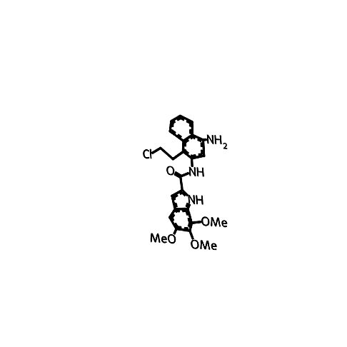 COc1cc2cc(C(=O)Nc3cc(N)c4ccccc4c3CCCl)[nH]c2c(OC)c1OC